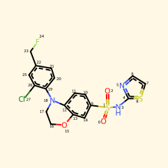 O=S(=O)(Nc1nccs1)c1ccc2c(c1)OCCN2c1ccc(CF)cc1Cl